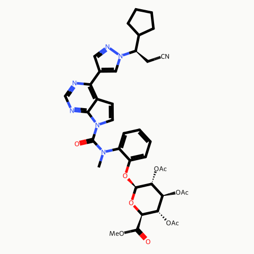 COC(=O)[C@H]1O[C@@H](Oc2ccccc2N(C)C(=O)n2ccc3c(-c4cnn([C@H](CC#N)C5CCCC5)c4)ncnc32)[C@H](OC(C)=O)[C@@H](OC(C)=O)[C@@H]1OC(C)=O